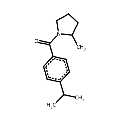 CC(C)c1ccc(C(=O)N2CCCC2C)cc1